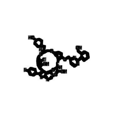 O=C(O)[C@H]1Cc2cc(ccc2OCc2ccnc(-c3ccccc3CO)n2)OC[C@@H](CN2CCN(O)CC2)Oc2ccc(c(O)c2Cl)-c2c(-c3ccc(F)cc3)sc3ncnc(c23)O1